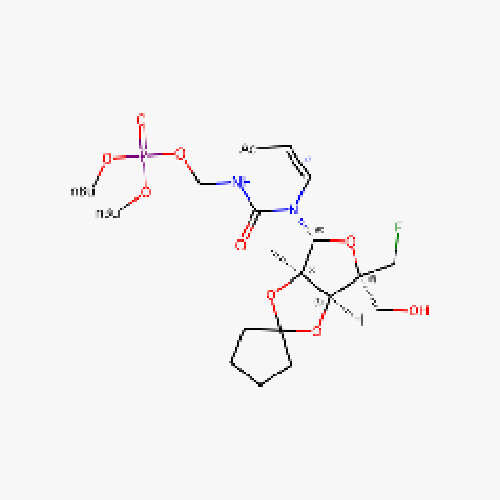 CCCCOP(=O)(OCCCC)OCNC(=O)N(/C=C\C(C)=O)[C@@H]1O[C@@](CO)(CF)[C@H]2OC3(CCCC3)O[C@]21C